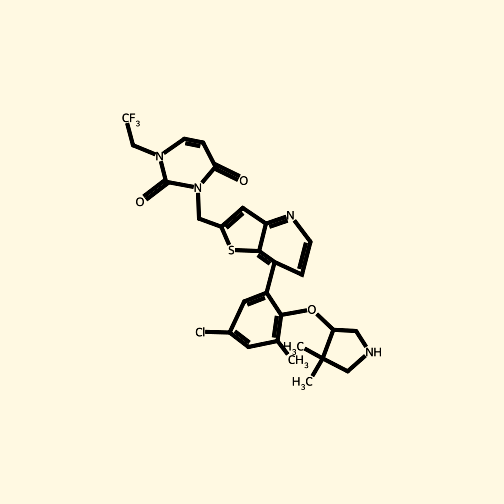 Cc1cc(Cl)cc(-c2ccnc3cc(Cn4c(=O)ccn(CC(F)(F)F)c4=O)sc23)c1OC1CNCC1(C)C